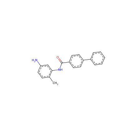 Cc1ccc(N)cc1NC(=O)c1ccc(-c2ccccc2)cc1